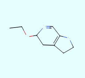 CCOC1CC2=C(C=N1)NCC2